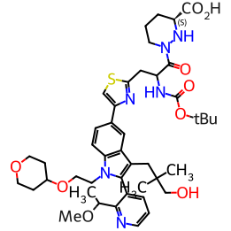 COC(C)c1ncccc1-c1c(CC(C)(C)CO)c2cc(-c3csc(CC(NC(=O)OC(C)(C)C)C(=O)N4CCC[C@@H](C(=O)O)N4)n3)ccc2n1CCOC1CCOCC1